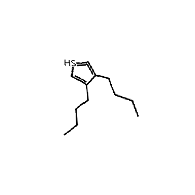 CCCCC1=C=[SH]C=C1CCCC